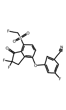 N#Cc1cc(F)cc(Oc2ccc(S(=O)(=O)CF)c3c2CC(F)(F)C3=O)c1